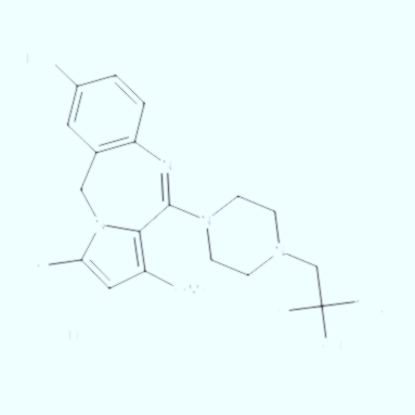 COc1cc(C)n2c1C(N1CCN(CC(C)(C)C(=O)O)CC1)=Nc1ccc(C)cc1C2.Cl.Cl